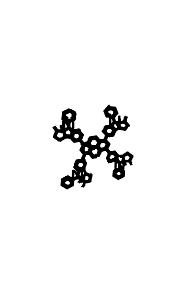 CC1CCC2c3cc(-c4cc(-c5ccc6c(c5)C5CCC(C)C5(C)N6c5ccccc5)c5ccc6c(-c7ccc8c(c7)C7CCC(C)C7(C)N8c7ccccc7)cc(-c7ccc8c(c7)C7CCC(C)C7(C)N8c7ccccc7)c7ccc4c5c76)ccc3N(c3ccccc3)C12C